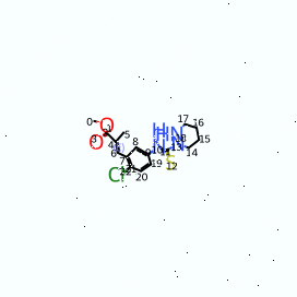 COC(=O)/C(C)=C/c1cc(NC(=S)N2CCCCN2)ccc1Cl